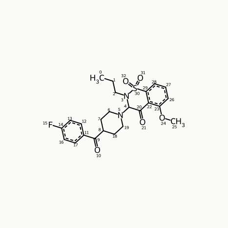 CCCN1C(N2CCC(C(=O)c3ccc(F)cc3)CC2)C(=O)c2c(OC)cccc2S1(=O)=O